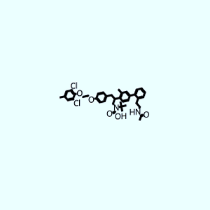 CC(=O)NCCc1ccccc1-c1ccc(C(Cc2ccc(OCCOc3c(Cl)cc(C)cc3Cl)cc2)CN(C(=O)O)C(C)(C)C)c(C)c1